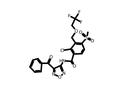 CS(=O)(=O)c1ccc(C(=O)Nc2nonc2C(=O)c2ccccc2)c(Cl)c1COCC(F)(F)F